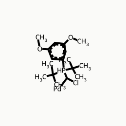 COc1cc(OC)cc([PH]([CH](Cl)[Pd])(C(C)(C)C)C(C)(C)C)c1